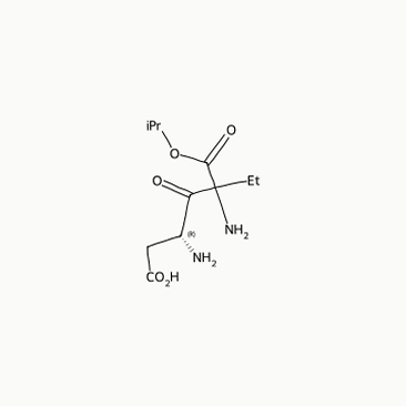 CCC(N)(C(=O)OC(C)C)C(=O)[C@H](N)CC(=O)O